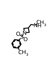 CNCC1CN(S(=O)(=O)c2cccc(C)c2)C1